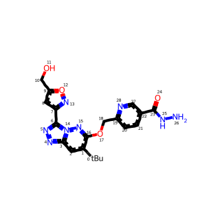 CC(C)(C)c1cc2nnc(-c3cc(CO)on3)n2nc1OCc1ccc(C(=O)NN)cn1